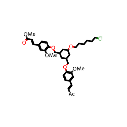 COC(=O)C=Cc1ccc(OCC2CC(COc3ccc(C=CC(C)=O)cc3OC)CC(OCCCCCCCl)C2)c(OC)c1